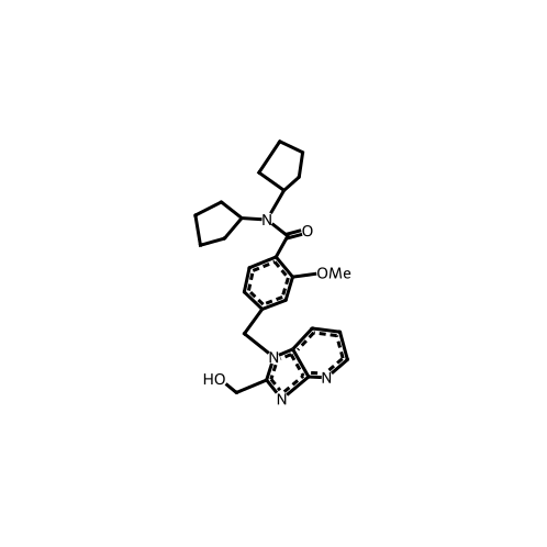 COc1cc(Cn2c(CO)nc3ncccc32)ccc1C(=O)N(C1CCCC1)C1CCCC1